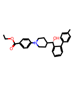 CCOC(=O)c1ccc(N2CCC([C@H](O)c3ccccc3-c3ccc(C)cc3)CC2)cc1